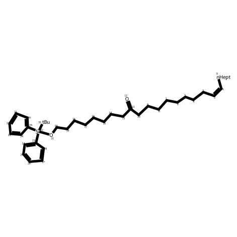 CCCCCCC/C=C\CCCCCCCCC(=O)CCCCCCCCO[Si](c1ccccc1)(c1ccccc1)C(C)(C)C